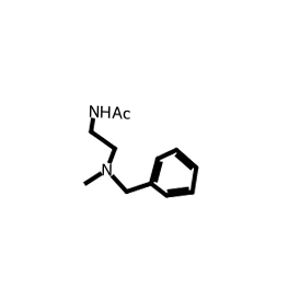 CC(=O)NCCN(C)Cc1ccccc1